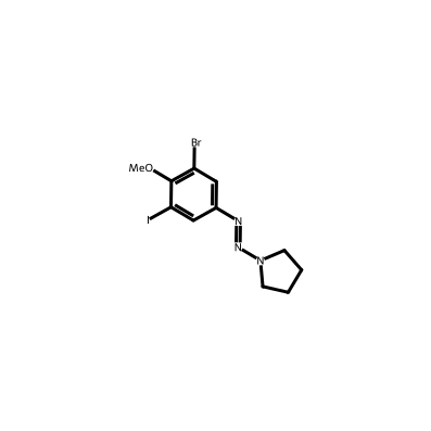 COc1c(Br)cc(N=NN2CCCC2)cc1I